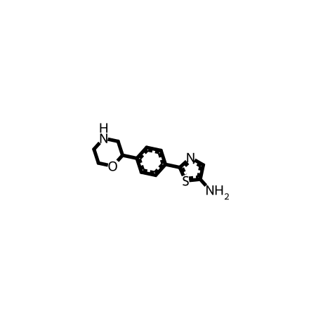 Nc1cnc(-c2ccc(C3CNCCO3)cc2)s1